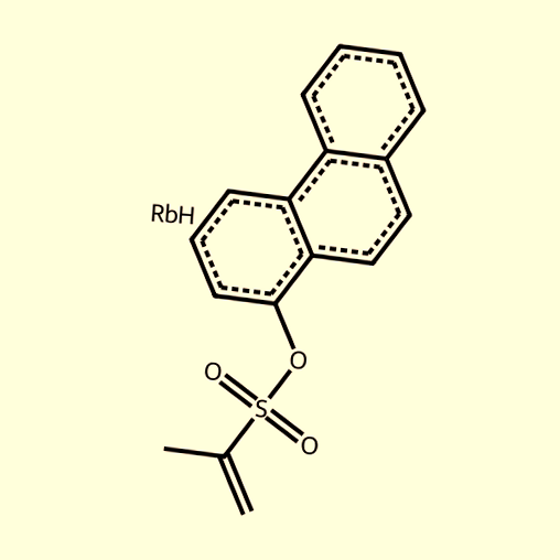 C=C(C)S(=O)(=O)Oc1cccc2c1ccc1ccccc12.[RbH]